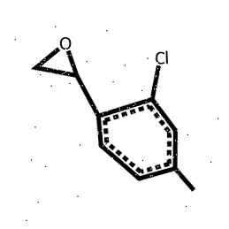 Cc1ccc(C2CO2)c(Cl)c1